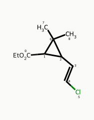 CCOC(=O)C1C(C=CCl)C1(C)C